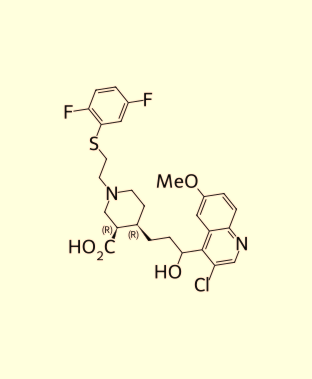 COc1ccc2ncc(Cl)c(C(O)CC[C@@H]3CCN(CCSc4cc(F)ccc4F)C[C@@H]3C(=O)O)c2c1